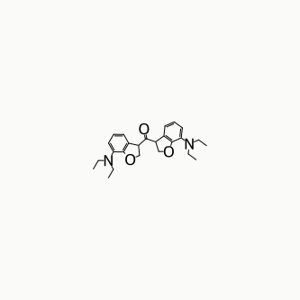 CCN(CC)c1cccc2c1OCC2C(=O)C1COc2c1cccc2N(CC)CC